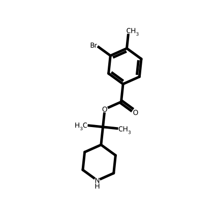 Cc1ccc(C(=O)OC(C)(C)C2CCNCC2)cc1Br